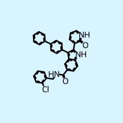 O=C(NCc1ccccc1Cl)c1ccc2[nH]c(-c3ccc[nH]c3=O)c(-c3ccc(-c4ccccc4)cc3)c2c1